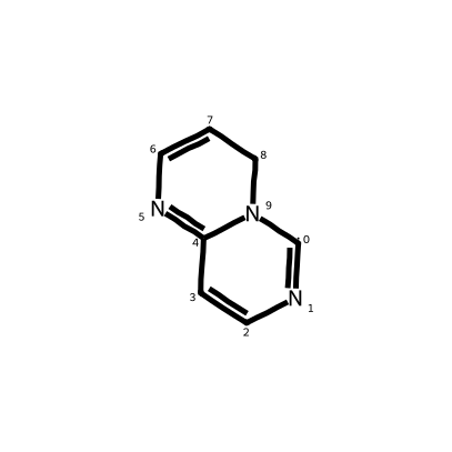 [C]1=NC=CC2=NC=CCN12